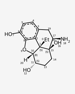 CC[C@]12c3c4ccc(O)c3O[C@H]1[C@@H](O)CC[C@@]2(O)[C@H](N)C4